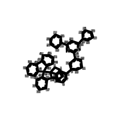 C1=CCC2(c3cccc(-c4cccc(-c5nc(-c6ccccc6)cc(-c6ccccc6)n5)c4)c3)C(=C1)c1ccccc1C21c2ccccc2-c2ccccc21